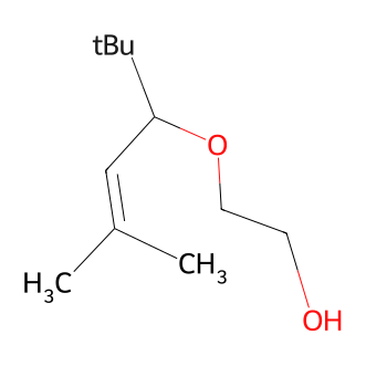 CC(C)=CC(OCCO)C(C)(C)C